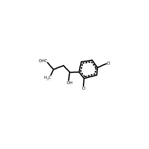 CC(C=O)CC(O)c1ccc(Cl)cc1Cl